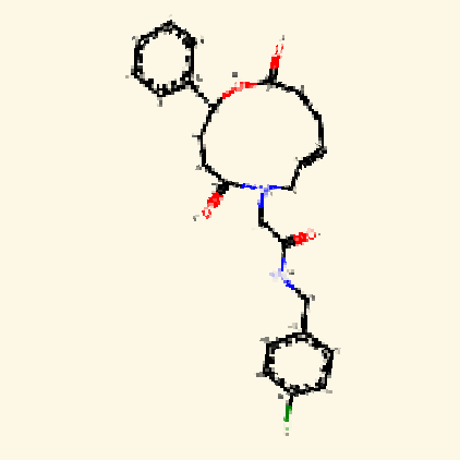 O=C(CN1C/C=C/CCC(=O)O[C@H](c2ccccc2)CCC1=O)NCc1ccc(Cl)cc1